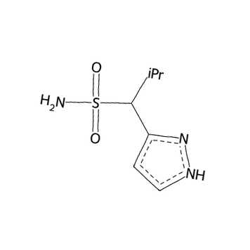 CC(C)C(c1cc[nH]n1)S(N)(=O)=O